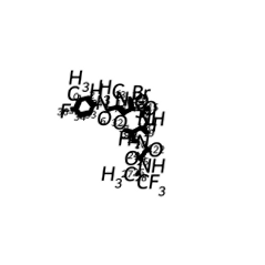 Cc1cc(NC(=O)c2c3c(c(Br)n2C)S(=O)(=O)N[C@H]2CN(C(=O)C(=O)N[C@H](C)C(F)(F)F)C[C@H]2CO3)ccc1F